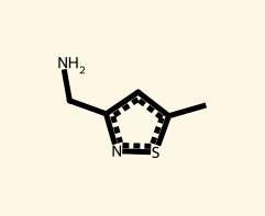 Cc1cc(CN)ns1